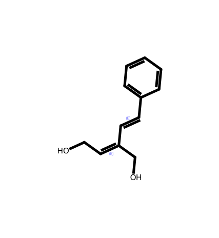 OC/C=C(\C=C\c1ccccc1)CO